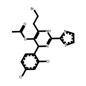 CC(=O)OC1=C(CCBr)NC(c2nccs2)=NC1c1ccc(Cl)cc1Cl